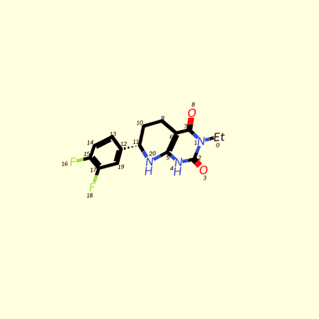 CCn1c(=O)[nH]c2c(c1=O)CC[C@@H](c1ccc(F)c(F)c1)N2